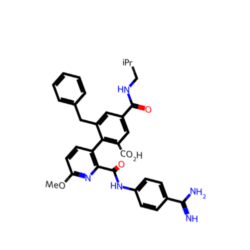 COc1ccc(-c2c(Cc3ccccc3)cc(C(=O)NCC(C)C)cc2C(=O)O)c(C(=O)Nc2ccc(C(=N)N)cc2)n1